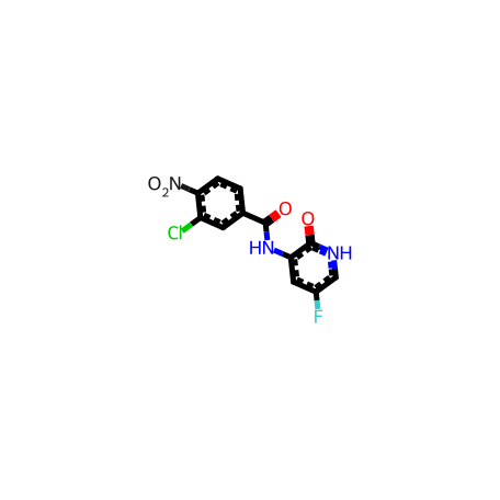 O=C(Nc1cc(F)c[nH]c1=O)c1ccc([N+](=O)[O-])c(Cl)c1